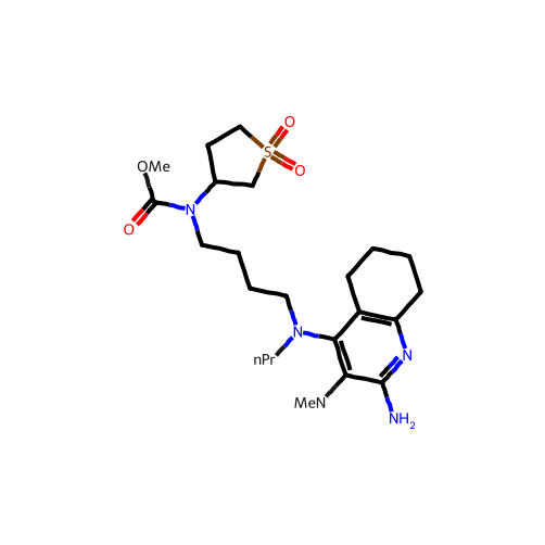 CCCN(CCCCN(C(=O)OC)C1CCS(=O)(=O)C1)c1c2c(nc(N)c1NC)CCCC2